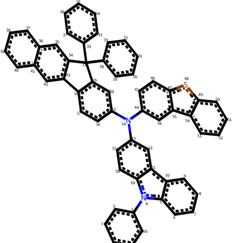 c1ccc(-n2c3ccccc3c3cc(N(c4ccc5c(c4)C(c4ccccc4)(c4ccccc4)c4cc6ccccc6cc4-5)c4ccc5sc6ccccc6c5c4)ccc32)cc1